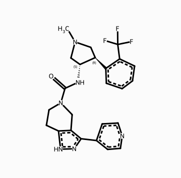 CN1C[C@@H](NC(=O)N2CCc3[nH]nc(-c4ccncc4)c3C2)[C@H](c2ccccc2C(F)(F)F)C1